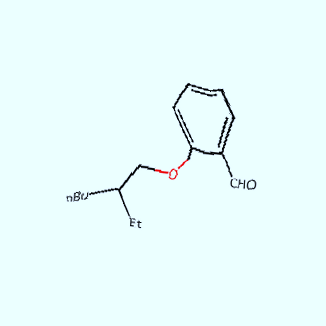 CCCCC(CC)COc1ccccc1C=O